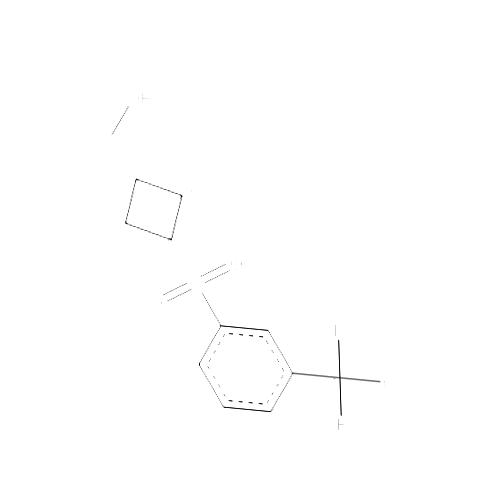 O=S(=O)(c1cccc(C(F)(F)F)c1)[C@H]1C[C@@H](CO)C1